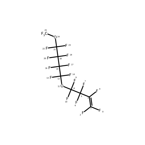 FC(F)=C(F)C(F)(F)C(F)(F)OC(F)(F)C(F)(F)C(F)(F)C(F)(F)OC(F)(F)F